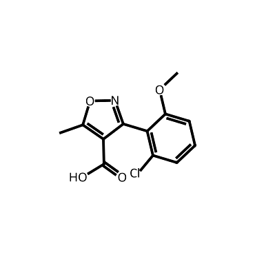 COc1cccc(Cl)c1-c1noc(C)c1C(=O)O